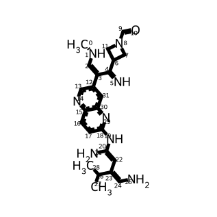 CN/C=C(\C(=N)C1CN(C=O)C1)c1cnc2ccc(N/C(N)=C/C(=C\N)C(C)C)nc2c1